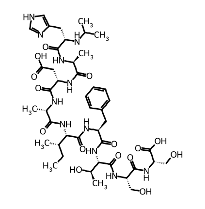 CC[C@H](C)[C@H](NC(=O)[C@H](C)NC(=O)[C@H](CC(=O)O)NC(=O)[C@H](C)NC(=O)[C@H](Cc1c[nH]cn1)NC(C)C)C(=O)N[C@@H](Cc1ccccc1)C(=O)N[C@H](C(=O)N[C@@H](CO)C(=O)N[C@@H](CO)C(=O)O)[C@@H](C)O